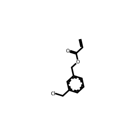 C=CC(=O)OCc1cccc(CCl)c1